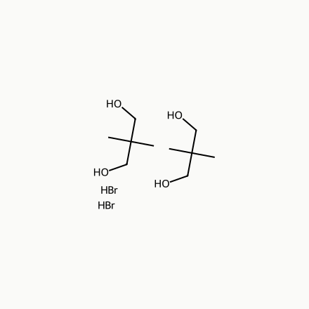 Br.Br.CC(C)(CO)CO.CC(C)(CO)CO